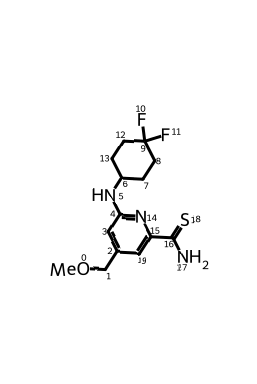 COCc1cc(NC2CCC(F)(F)CC2)nc(C(N)=S)c1